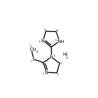 CSC1=NCCN1C1=NCCN1.I